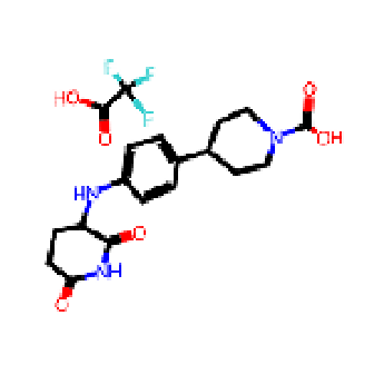 O=C(O)C(F)(F)F.O=C1CCC(Nc2ccc(C3CCN(C(=O)O)CC3)cc2)C(=O)N1